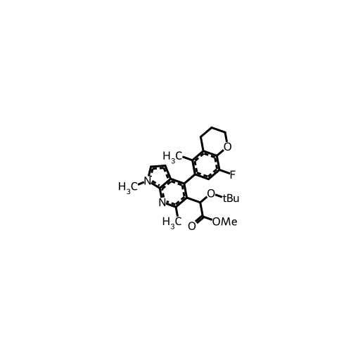 COC(=O)C(OC(C)(C)C)c1c(C)nc2c(ccn2C)c1-c1cc(F)c2c(c1C)CCCO2